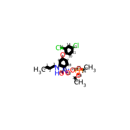 C/C=C/CNc1cc(Oc2ccc(Cl)cc2Cl)ccc1[N+](=O)[O-].CCO[PH](=O)OCC